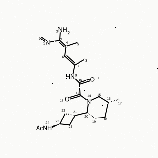 C=N/C(N)=C(C)\C=C(/C)NC(=O)C(=O)N1C[C@H](C)CC[C@@H]1[C@H]1C[C@H](NC(C)=O)C1